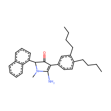 CCCCc1ccc(C2=C(N)N(C)C(c3cccc4ccccc34)C2=O)cc1CCCC